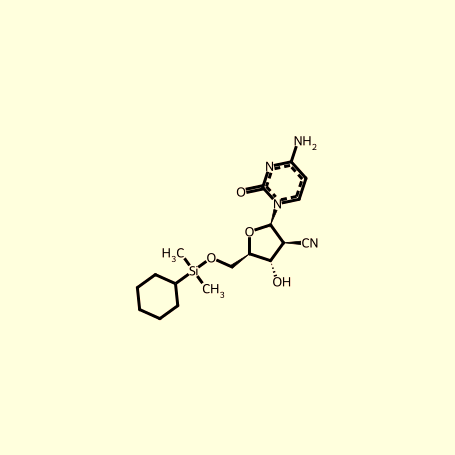 C[Si](C)(OC[C@H]1O[C@@H](n2ccc(N)nc2=O)[C@@H](C#N)[C@@H]1O)C1CCCCC1